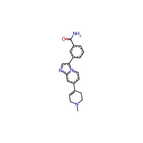 CN1CC=C(c2ccn3c(-c4cccc(C(N)=O)c4)cnc3c2)CC1